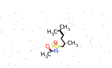 CC(=O)N=[SH](=O)C[C@@H](C)CC=C(C)C